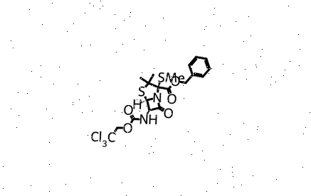 CS[C@@]1(C(=O)OCc2ccccc2)N2C(=O)[C@@H](NC(=O)OCC(Cl)(Cl)Cl)[C@H]2SC1(C)C